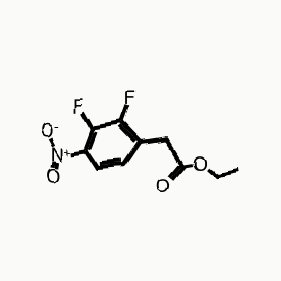 CCOC(=O)Cc1ccc([N+](=O)[O-])c(F)c1F